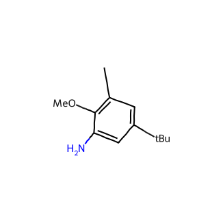 COc1c(C)cc(C(C)(C)C)cc1N